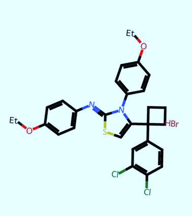 Br.CCOc1ccc(/N=c2\scc(C3(c4ccc(Cl)c(Cl)c4)CCC3)n2-c2ccc(OCC)cc2)cc1